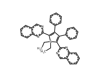 CC[Si]1(CC)C(c2ncc3ccccc3n2)=C(c2ccccc2)C(c2ccccc2)=C1c1ncc2ccccc2n1